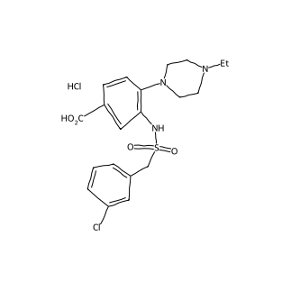 CCN1CCN(c2ccc(C(=O)O)cc2NS(=O)(=O)Cc2cccc(Cl)c2)CC1.Cl